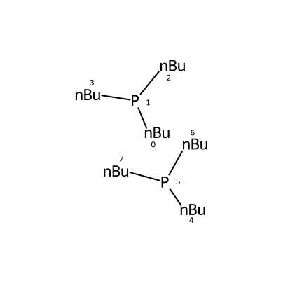 CCCCP(CCCC)CCCC.CCCCP(CCCC)CCCC